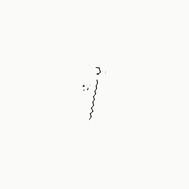 CCCCCCCCCCCCCCCCOC(=O)[C@@H](N)[C@@H](C)CC.CCS(=O)(=O)O